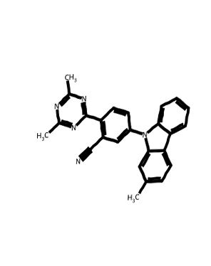 Cc1ccc2c3ccccc3n(-c3ccc(-c4nc(C)nc(C)n4)c(C#N)c3)c2c1